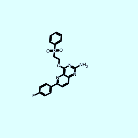 Nc1nc(OCCS(=O)(=O)c2ccccc2)c2nc(-c3ccc(F)cc3)ccc2n1